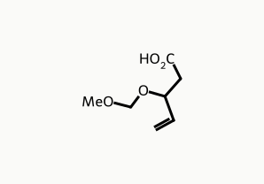 C=CC(CC(=O)O)OCOC